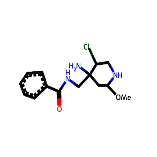 COC1CC(N)(CNC(=O)c2ccccc2)C(Cl)CN1